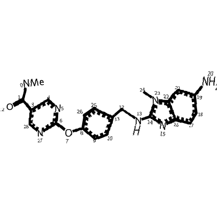 CNC(=O)c1cnc(Oc2ccc(CNc3nc4ccc(N)cc4n3C)cc2)nc1